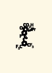 CC(C)Cn1cc(C(=O)O)c(=O)c2cc(F)c(N(C)Cc3cc(C(F)(F)F)cc(C(F)(F)F)c3)cc21